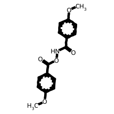 COc1ccc(C(=O)NOC(=O)c2ccc(OC)cc2)cc1